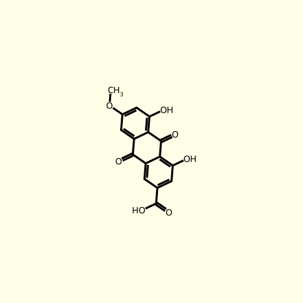 COc1cc(O)c2c(c1)C(=O)c1cc(C(=O)O)cc(O)c1C2=O